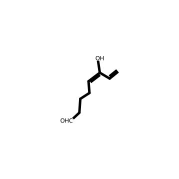 C=C/C(O)=C\CCCC=O